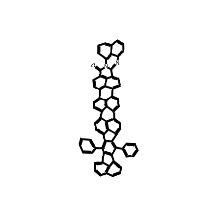 O=c1c2ccc3c4ccc5c6ccc7c8c(-c9ccccc9)c9c%10cccc%11cccc(c9c(-c9ccccc9)c8c8ccc(c9ccc(c%12ccc(c2c3%12)c2nc3cccc%12cccc(c%123)n12)c4c59)c6c78)c%11%10